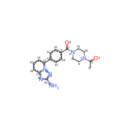 CC(=O)N1CCN(C(=O)c2ccc(-c3cccc4nc(N)nn34)cc2)CC1